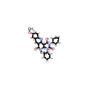 COc1ccc2nc3c(cc2c1)c(=O)n(C)c1c3c(=O)n(-c2ccccc2)c(=O)n1-c1ccccc1